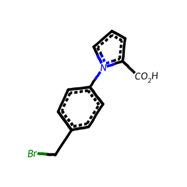 O=C(O)c1cccn1-c1ccc(CBr)cc1